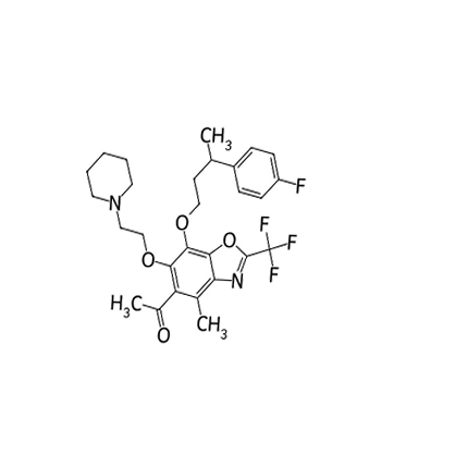 CC(=O)c1c(OCCN2CCCCC2)c(OCCC(C)c2ccc(F)cc2)c2oc(C(F)(F)F)nc2c1C